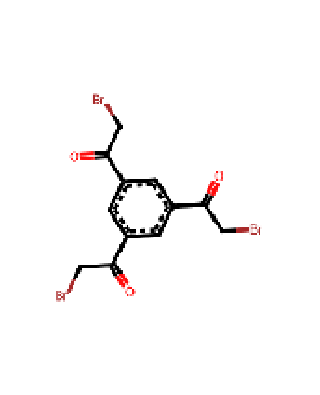 O=C(CBr)c1cc(C(=O)CBr)cc(C(=O)CBr)c1